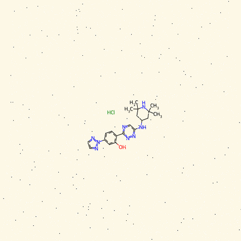 CC1(C)CC(Nc2cnc(-c3ccc(-n4nccn4)cc3O)nn2)CC(C)(C)N1.Cl